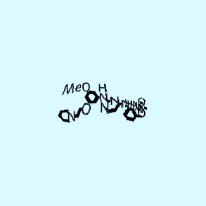 COc1cc(Nc2nccc(Nc3cccc(C)c3NS(C)(=O)=O)n2)cc(OCCN2CCCCC2)c1